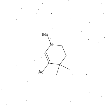 CC(=O)C1=CN(C(C)(C)C)CCC1(C)C